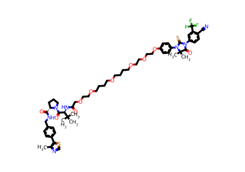 Cc1ncsc1-c1ccc(CNC(=O)[C@@H]2CCCN2C(=O)[C@@H](NC(=O)COCCOCCCCOCCCCOCCOCCOc2ccc(N3C(=S)N(c4ccc(C#N)c(C(F)(F)F)c4)C(=O)C3(C)C)cc2)C(C)(C)C)cc1